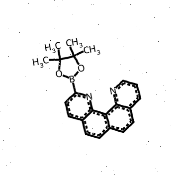 CC1(C)OB(c2ccc3ccc4ccc5cccnc5c4c3n2)OC1(C)C